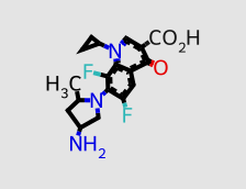 CC1CC(N)CN1c1c(F)cc2c(=O)c(C(=O)O)cn(C3CC3)c2c1F